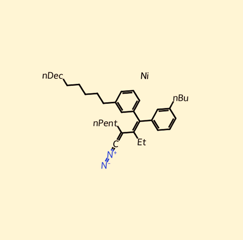 CCCCCCCCCCCCCCCc1cccc(C(=C(CC)C(=C=[N+]=[N-])CCCCC)c2cccc(CCCC)c2)c1.[Ni]